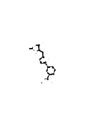 COC(=O)c1cc(-c2ccc(/C=C3\NC(=S)NC3=O)o2)ccc1Cl